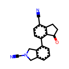 N#Cc1ccc(-c2cccc3c2CN(C#N)C3)c2c1CCC2=O